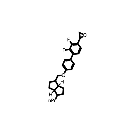 CCCC1CC[C@H]2C(COc3ccc(-c4ccc(C5CO5)c(F)c4F)cc3)CC[C@@H]12